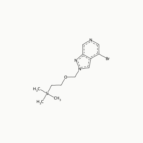 C[Si](C)(C)CCOCn1cc2c(Br)cncc2n1